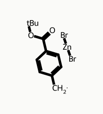 [Br][Zn][Br].[CH2]c1ccc(C(=O)OC(C)(C)C)cc1